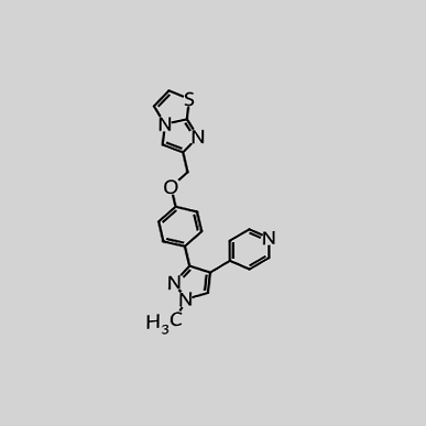 Cn1cc(-c2ccncc2)c(-c2ccc(OCc3cn4ccsc4n3)cc2)n1